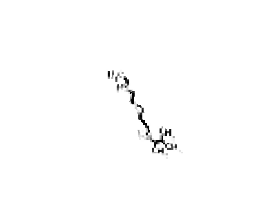 CCNCCOCCNC(C)C(C)C